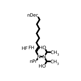 CCCCCCCCCCCCCCCCC=CN(CCC)N(C(C)O)C(C)O.F.F